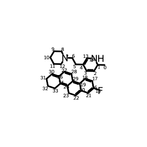 CC1C=CC(CCN2CCCCC2)=CN1.Fc1ccc2c(c1)=CCc1c3c(ccc1=2)=CCCC3